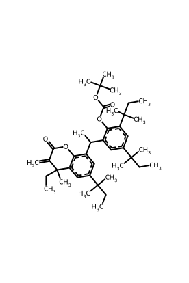 C=C1C(=O)Oc2c(C(C)c3cc(C(C)(C)CC)cc(C(C)(C)CC)c3OC(=O)OC(C)(C)C)cc(C(C)(C)CC)cc2C1(C)CC